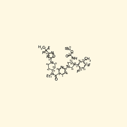 CCN(C(=O)c1cnc(N2C[C@H](NC(=O)OC(C)(C)C)[C@@H](c3cc(C)c(F)cc3F)C2)nc1)C1CCN(c2nc(C(C)(F)F)no2)CC1